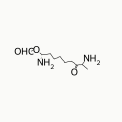 CC(N)C(=O)CCCCC[C@H](N)OC=O